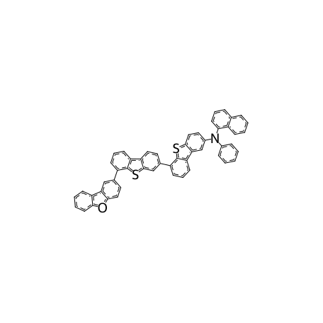 c1ccc(N(c2ccc3sc4c(-c5ccc6c(c5)sc5c(-c7ccc8oc9ccccc9c8c7)cccc56)cccc4c3c2)c2cccc3ccccc23)cc1